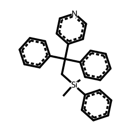 C[Si](C)(CC(c1ccccc1)(c1ccccc1)c1ccncc1)c1ccccc1